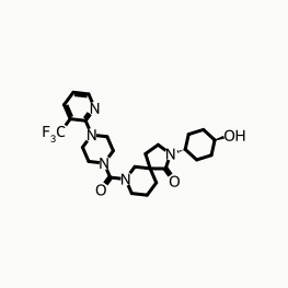 O=C(N1CCN(c2ncccc2C(F)(F)F)CC1)N1CCCC2(CCN([C@H]3CC[C@H](O)CC3)C2=O)C1